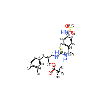 Cc1ccc(CC(CNC(=S)N[C@H](C)c2ccc(NS(C)(=O)=O)cc2)COC(=O)C(C)(C)C)cc1C